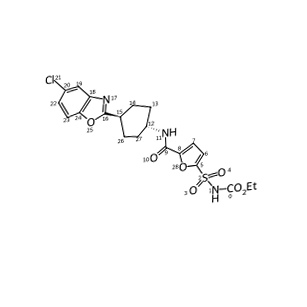 CCOC(=O)NS(=O)(=O)c1ccc(C(=O)N[C@H]2CC[C@H](c3nc4cc(Cl)ccc4o3)CC2)o1